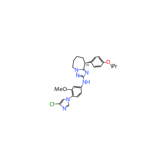 COc1cc(Nc2nc3n(n2)CCCC[C@H]3c2ccc(OC(C)C)cc2)ccc1-n1cnc(Cl)c1